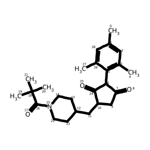 Cc1cc(C)c(C2C(=O)CC(CC3CCN(C(=O)C(C)(C)C)CC3)C2=O)c(C)c1